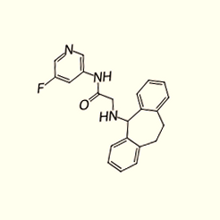 O=C(CNC1c2ccccc2CCc2ccccc21)Nc1cncc(F)c1